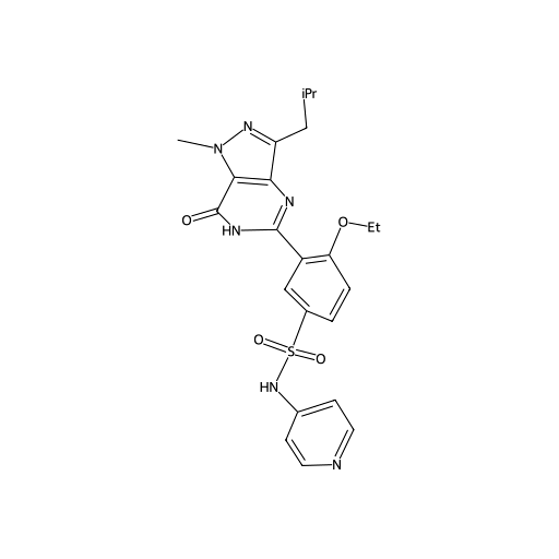 CCOc1ccc(S(=O)(=O)Nc2ccncc2)cc1-c1nc2c(CC(C)C)nn(C)c2c(=O)[nH]1